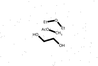 CCOCC.COC(C)=O.OCCO